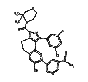 CC1(C)COCCN1C(=O)c1nn(-c2cc(Cl)cc(Cl)c2)c2c1CCc1cc(O)c(-c3cncc(C(N)=O)c3)cc1-2